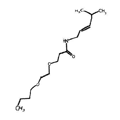 CCCCOCCOCCC(=O)NC/C=C/C(C)C